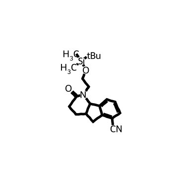 CC(C)(C)[Si](C)(C)OCCN1C(=O)CCC2Cc3c(C#N)cccc3C21